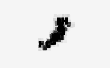 Cl.NCc1ccnc(-c2ccc(OCC(F)(F)F)cc2)c1